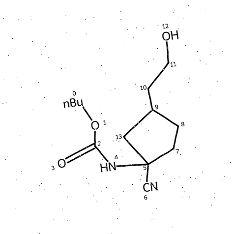 CCCCOC(=O)NC1(C#N)CCC(CCO)C1